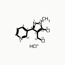 Cl.Cn1nc(-c2cccnc2)c(CCl)c1Cl